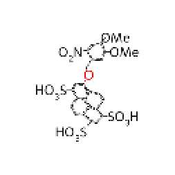 COc1cc(COc2cc(S(=O)(=O)O)c3ccc4c(S(=O)(=O)O)cc(S(=O)(=O)O)c5ccc2c3c54)c([N+](=O)[O-])cc1OC